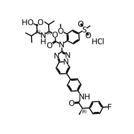 COc1cc(S(C)(=O)=O)ccc1N(C(=O)O[C@@H](N[C@H](C(=O)O)C(C)C)C(C)C)c1nc2ccc(-c3ccc(NC(=O)[C@H](C)c4ccc(F)cc4)cc3)cn2n1.Cl